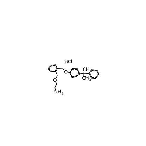 CC(C)(c1ccccc1)c1ccc(OCc2ccccc2COCCN)cc1.Cl